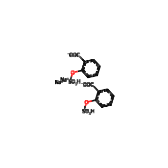 O=C([O-])c1ccccc1OS(=O)(=O)O.O=C([O-])c1ccccc1OS(=O)(=O)O.[Na+].[Na+]